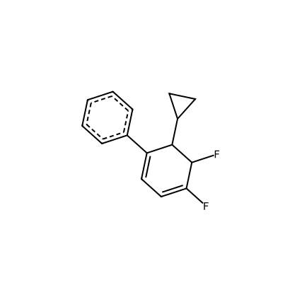 FC1=CC=C(c2ccccc2)C(C2CC2)C1F